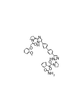 COc1ccccc1OCC(=O)N1CCC[C@H]1c1ncc(-c2ccc(-c3ccc(-c4cnc([C@@H]5CCCN5C(=O)[C@H](OC(N)=O)c5ccccc5)[nH]4)cc3)cc2)[nH]1